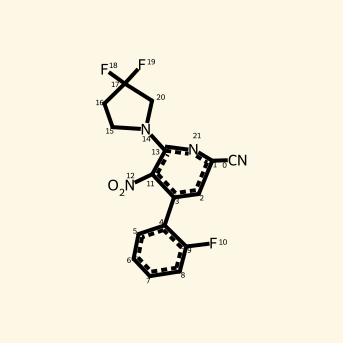 N#Cc1cc(-c2ccccc2F)c([N+](=O)[O-])c(N2CCC(F)(F)C2)n1